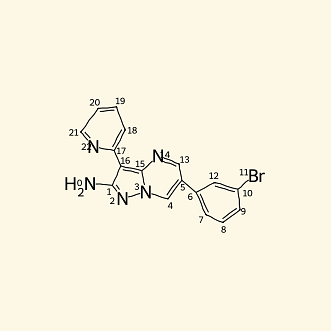 Nc1nn2cc(-c3cccc(Br)c3)cnc2c1-c1ccccn1